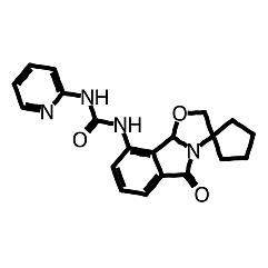 O=C(Nc1ccccn1)Nc1cccc2c1C1OCC3(CCCC3)N1C2=O